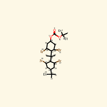 CCC(C)(CC)OC(=O)OC1CC(Br)C(C(C)(C)C2C(Br)CC(C(C)(C)CC)CC2Br)C(Br)C1